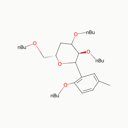 CCCCOC[C@@H]1CC(OCCCC)[C@@H](OCCCC)C(c2cc(C)ccc2OCCCC)O1